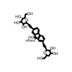 CCCCCC1(O)c2cc(C#CC3OC(CO)CC(O)C3O)ccc2-c2ccc(C#CC3OC(CO)[C@@H](O)C(O)C3O)cc21